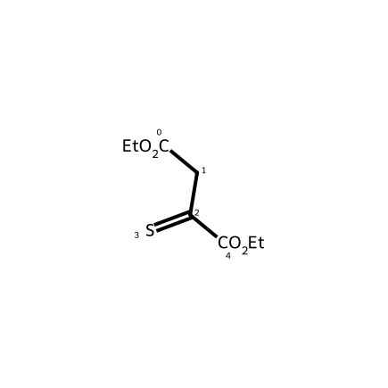 CCOC(=O)CC(=S)C(=O)OCC